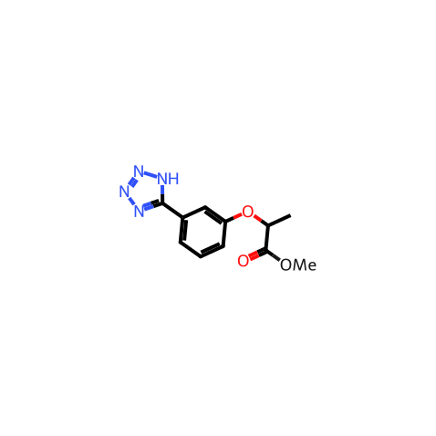 COC(=O)C(C)Oc1cccc(-c2nnn[nH]2)c1